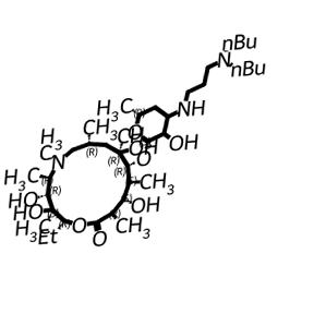 CCCCN(CCCC)CCCNC1C[C@@H](C)O[C@@H](O[C@@H]2[C@@H](C)[C@H](O)[C@@H](C)C(=O)O[C@H](CC)[C@@](C)(O)[C@H](O)[C@@H](C)N(C)C[C@H](C)C[C@@]2(C)O)C1O